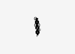 CC(=O)c1ccc(S(=O)(=O)N2CCN(c3ccc(F)cc3F)C[C@H]2C)cc1